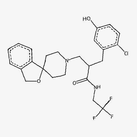 O=C(NCC(F)(F)F)C(Cc1cc(O)ccc1Cl)CN1CCC2(CC1)OCc1ccccc12